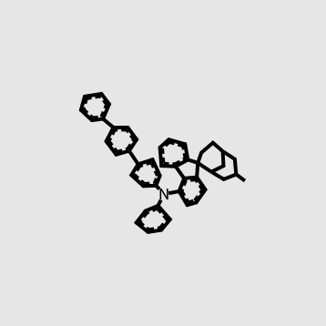 CC1CC2CCC3(c4ccccc4-c4c(N(c5ccccc5)c5ccc(-c6ccc(-c7ccccc7)cc6)cc5)cccc43)C(C1)C2